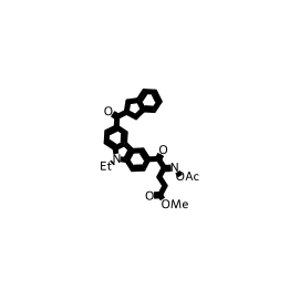 CCn1c2ccc(C(=O)/C(CCC(=O)OC)=N/OC(C)=O)cc2c2cc(C(=O)C3Cc4ccccc4C3)ccc21